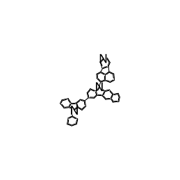 c1ccc(-n2c3ccccc3c3cc(-c4ccc5c(c4)c4cc6ccccc6cc4n5-c4ccc5c6c(cccc46)-c4ccncc4-5)ccc32)cc1